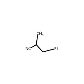 CCC[C](C)C#N